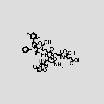 CC(C)(C)C(c1cc(-c2cc(F)ccc2F)cn1Cc1ccccc1)N(CCC(NC(=O)C(CC(N)=O)NC(=O)CN1C(=O)C=CC1=O)C(=O)NCCC(=O)NC(CCC(=O)O)C(=O)O)C(=O)CO